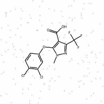 Cn1nc(C(F)(F)F)c(C(=O)O)c1Oc1ccc(Cl)c(Cl)c1